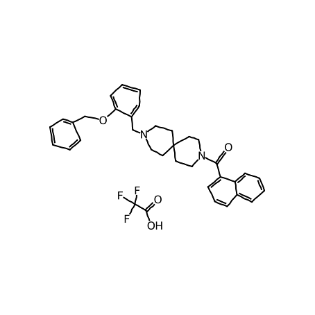 O=C(O)C(F)(F)F.O=C(c1cccc2ccccc12)N1CCC2(CCN(Cc3ccccc3OCc3ccccc3)CC2)CC1